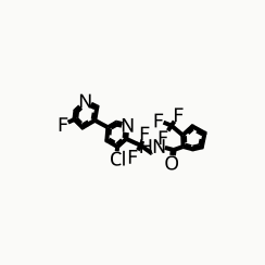 O=C(NCC(F)(F)c1ncc(-c2cncc(F)c2)cc1Cl)c1ccccc1C(F)(F)F